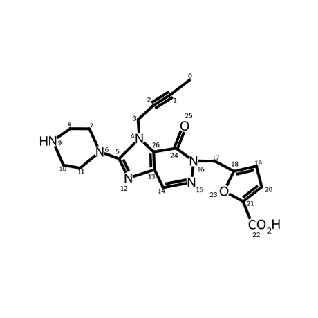 CC#CCn1c(N2CCNCC2)nc2cnn(Cc3ccc(C(=O)O)o3)c(=O)c21